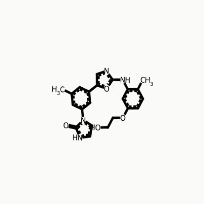 Cc1cc(-c2cnc(Nc3cc(OCCO)ccc3C)o2)cc(-n2cc[nH]c2=O)c1